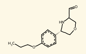 CCCOc1ccc([C@H]2COCC(C=O)N2)cc1